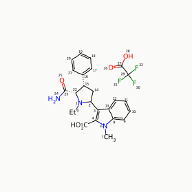 CCN1C(c2c(C(=O)O)n(C)c3ccccc23)C[C@@H](c2ccccc2)[C@H]1C(N)=O.O=C(O)C(F)(F)F